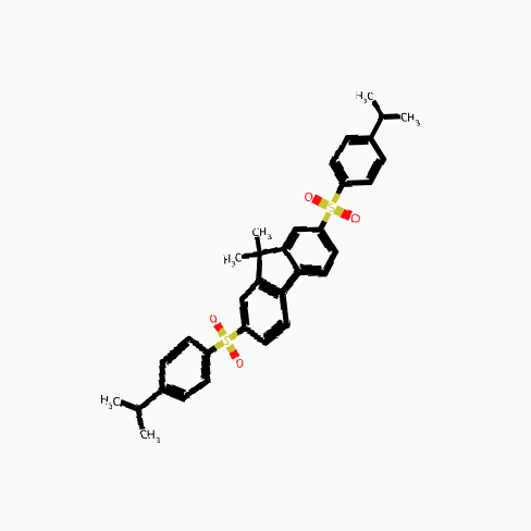 CC(C)c1ccc(S(=O)(=O)c2ccc3c(c2)C(C)(C)c2cc(S(=O)(=O)c4ccc(C(C)C)cc4)ccc2-3)cc1